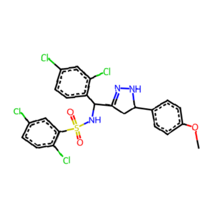 COc1ccc(C2CC(C(NS(=O)(=O)c3cc(Cl)ccc3Cl)c3ccc(Cl)cc3Cl)=NN2)cc1